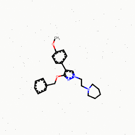 COc1ccc(-c2cn(CCN3CCCCC3)nc2OCc2ccccc2)cc1